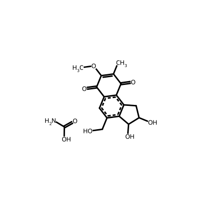 COC1=C(C)C(=O)c2c(cc(CO)c3c2CC(O)C3O)C1=O.NC(=O)O